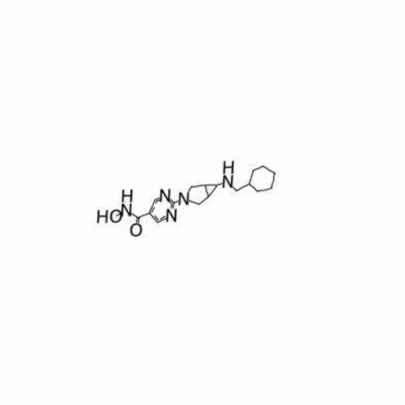 O=C(NO)c1cnc(N2CC3C(C2)C3NCC2CCCCC2)nc1